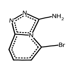 Nc1nnc2cccc(Br)n12